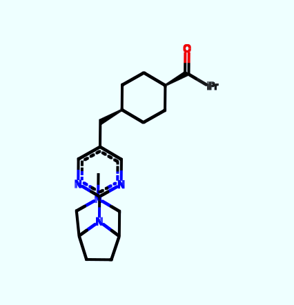 CC(C)C(=O)[C@H]1CC[C@@H](Cc2cnc(N3C4CCC3CN(C)C4)nc2)CC1